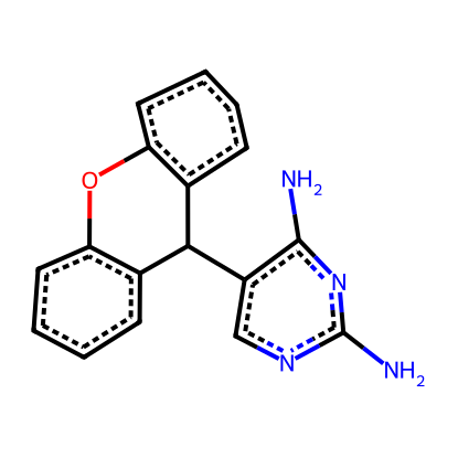 Nc1ncc(C2c3ccccc3Oc3ccccc32)c(N)n1